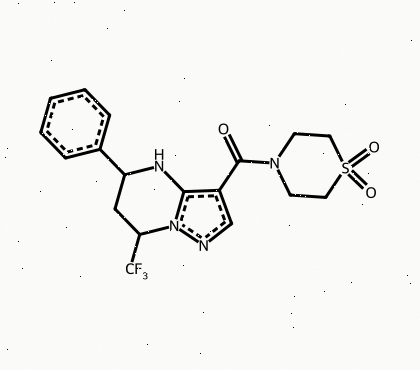 O=C(c1cnn2c1NC(c1ccccc1)CC2C(F)(F)F)N1CCS(=O)(=O)CC1